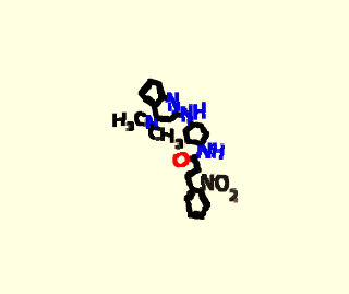 CN(C)c1cc(NC2CCC(NC(=O)C=Cc3ccccc3[N+](=O)[O-])CC2)nc2ccccc12